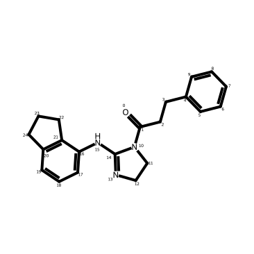 O=C(CCc1ccccc1)N1CCN=C1Nc1cccc2c1CCC2